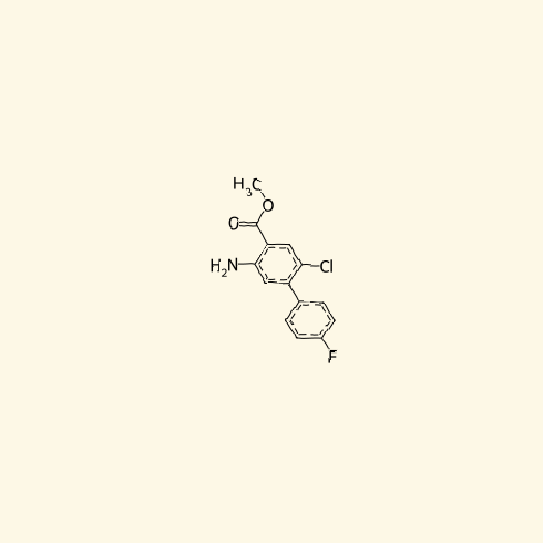 COC(=O)c1cc(Cl)c(-c2ccc(F)cc2)cc1N